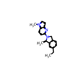 C=C1c2cc(CC)ccc2CN1c1ccc2c(ccn2C)n1